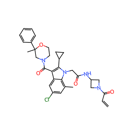 C=CC(=O)N1CC(NC(=O)Cn2c(C3CC3)c(C(=O)N3CCOC(C)(c4ccccc4)C3)c3cc(Cl)cc(C)c32)C1